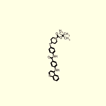 CC(C)(C)OC(=O)N1CCC(Sc2ccc(NC(=O)c3ccc(Nc4ccnc5ccccc45)cc3)cc2)CC1